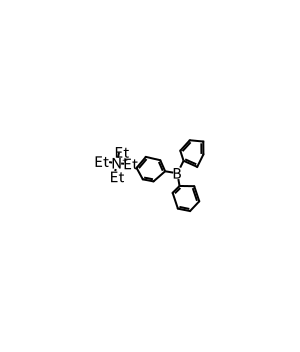 CC[N+](CC)(CC)CC.c1ccc(B(c2ccccc2)c2ccccc2)cc1